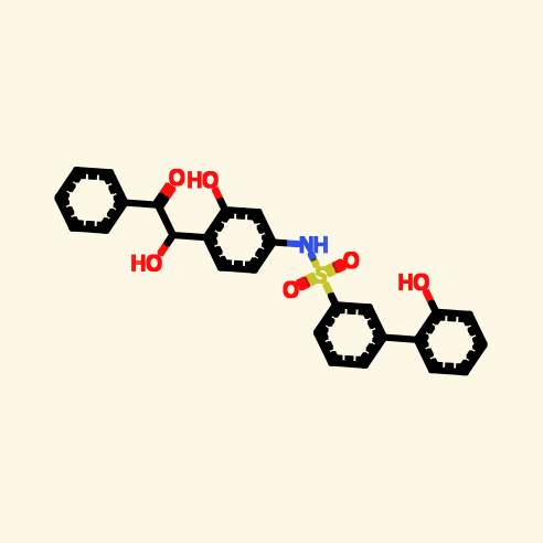 O=C(c1ccccc1)C(O)c1ccc(NS(=O)(=O)c2cccc(-c3ccccc3O)c2)cc1O